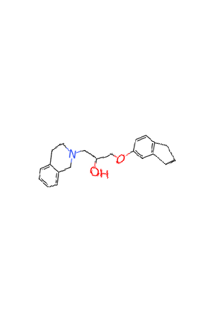 OC(COc1ccc2c(c1)CCC2)CN1CCc2ccccc2C1